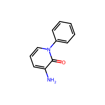 Nc1cccn(-c2ccccc2)c1=O